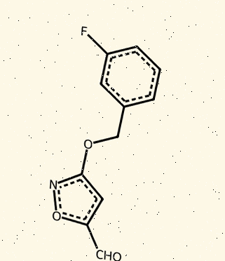 O=Cc1cc(OCc2cccc(F)c2)no1